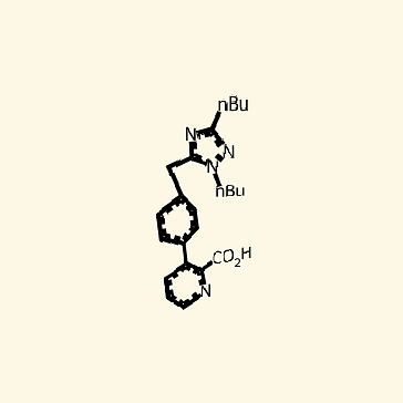 CCCCc1nc(Cc2ccc(-c3cccnc3C(=O)O)cc2)n(CCCC)n1